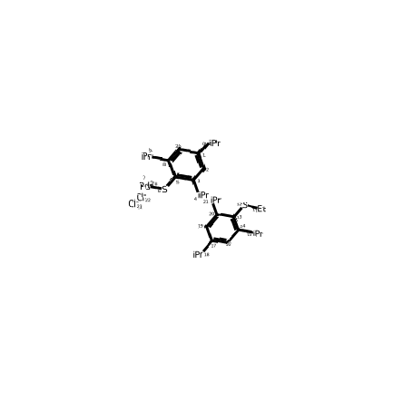 CC(C)c1cc(C(C)C)c([S][Pd+2])c(C(C)C)c1.CCSc1c(C(C)C)cc(C(C)C)cc1C(C)C.[Cl-].[Cl-]